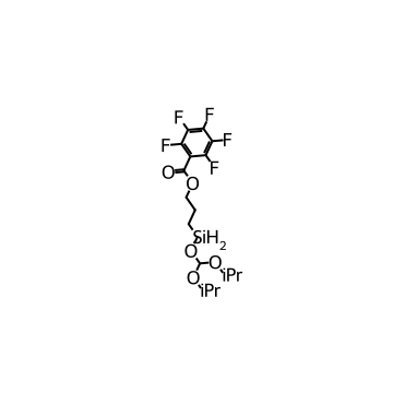 CC(C)OC(O[SiH2]CCCOC(=O)c1c(F)c(F)c(F)c(F)c1F)OC(C)C